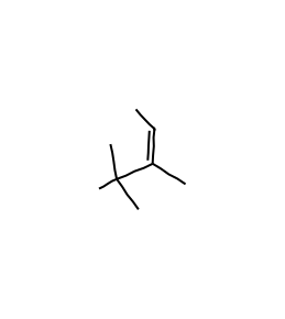 CC=C(C)C(C)(C)C